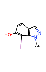 CC(=O)n1ncc2ccc(O)c(I)c21